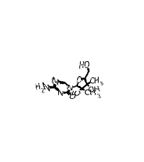 CC1(O)C(CO)OC(n2cnc(N)nc2=O)C1(C)O